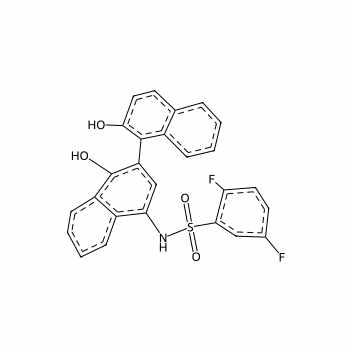 O=S(=O)(Nc1cc(-c2c(O)ccc3ccccc23)c(O)c2ccccc12)c1cc(F)ccc1F